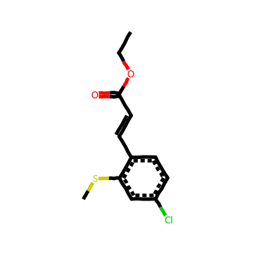 CCOC(=O)C=Cc1ccc(Cl)cc1SC